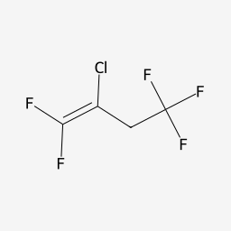 FC(F)=C(Cl)CC(F)(F)F